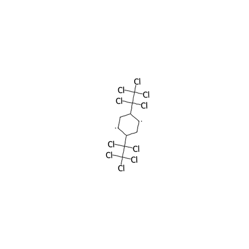 ClC(Cl)(Cl)C(Cl)(Cl)C1[CH]CC(C(Cl)(Cl)C(Cl)(Cl)Cl)[CH]C1